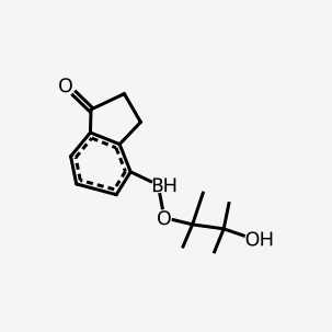 CC(C)(O)C(C)(C)OBc1cccc2c1CCC2=O